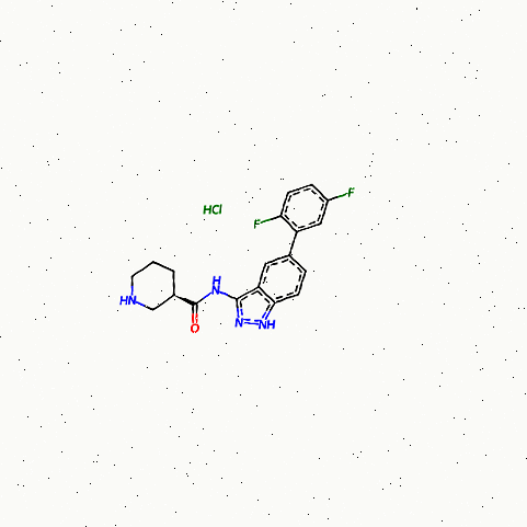 Cl.O=C(Nc1n[nH]c2ccc(-c3cc(F)ccc3F)cc12)[C@@H]1CCCNC1